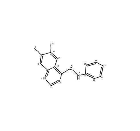 Cc1cc2nccc(ONc3ccccc3)c2cc1C